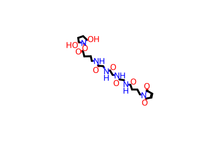 O=C(CCCN1C(=O)C=CC1=O)NCC(=O)NCC(=O)NCC(=O)NCCCC(=O)ON1C(O)CCC1O